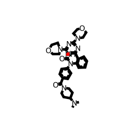 CN(C)C1CCN(C(=O)c2ccc(N(C(N)=O)c3ccccc3-c3nc(N4CCOCC4)nc(N4CCOCC4)n3)cc2)CC1